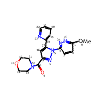 COc1ccc(-n2nc(C(=O)N3CCOCC3)cc2-c2ccccn2)nn1